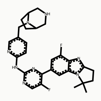 CC1(C)CCc2nc3c(F)cc(-c4nc(Nc5ccc(CN6C7CCC6CNC7)cn5)ncc4F)cc3n21